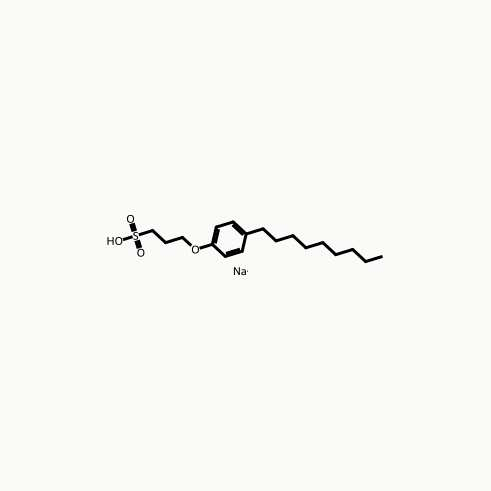 CCCCCCCCCc1ccc(OCCCS(=O)(=O)O)cc1.[Na]